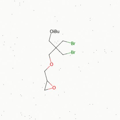 CC(C)COCC(CBr)(CBr)COCC1CO1